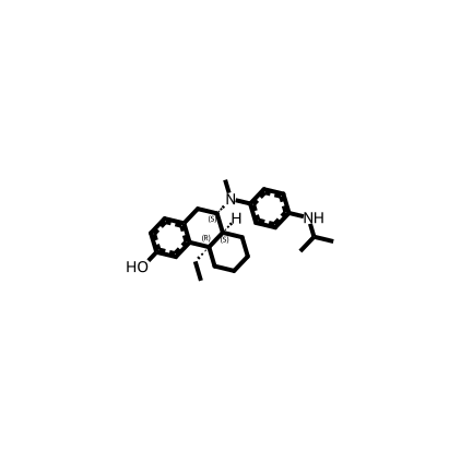 CC[C@@]12CCCC[C@@H]1[C@@H](N(C)c1ccc(NC(C)C)cc1)Cc1ccc(O)cc12